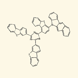 c1ccc2cc3c(cc2c1)c1ccccc1n3-c1ccc(-c2nc(-c3ccc4c(c3)oc3ccccc34)nc(-c3ccc4c(c3)sc3ccccc34)n2)c2c1sc1ccccc12